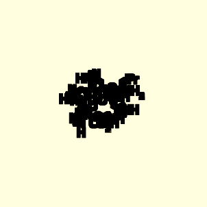 CC(C)C[C@H](N)C(=O)N[C@@H](Cc1c[nH]cn1)C(=O)N[C@@H](Cc1c[nH]cn1)C(=O)N[C@@H](Cc1c[nH]cn1)C(=O)N[C@@H](Cc1c[nH]cn1)C(=O)N[C@@H](Cc1c[nH]cn1)C(=O)O